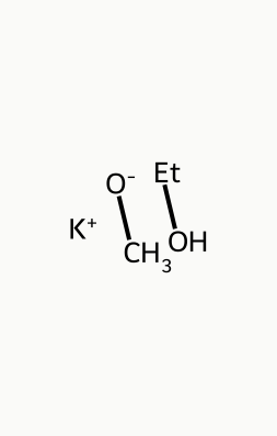 CCO.C[O-].[K+]